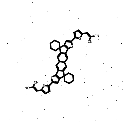 N#CC(C#N)=Cc1ccc(-c2cc3c(s2)C2=CC4C=C5C(=CC4C=C2C32CCCCC2)c2sc(-c3ccc(C=C(C#N)C#N)s3)cc2C52CCCCC2)s1